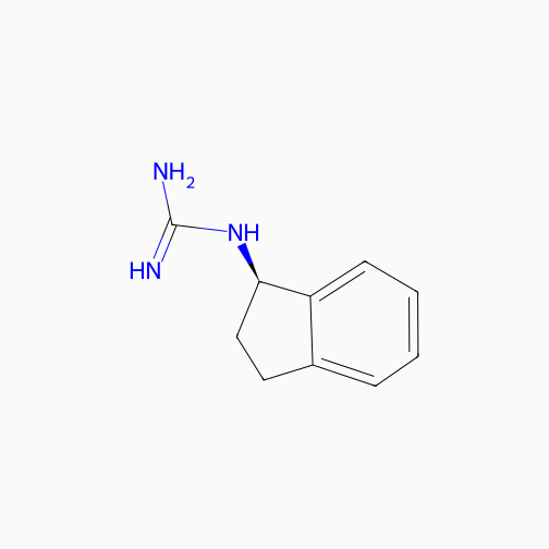 N=C(N)N[C@@H]1CCc2ccccc21